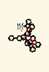 CC1(C)c2ccccc2-c2ccc(N(c3ccc4c(c3)C3(c5ccccc5-c5ccc(N(c6ccc(-c7ccccc7)cc6)c6ccc(-c7ccccc7)cc6)cc53)c3ccccc3-4)c3ccccc3-c3ccccc3)cc21